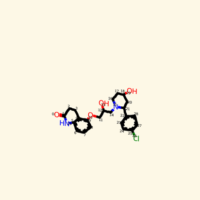 O=C1CCc2c(cccc2OCC(O)CN2CCC(O)CC2c2ccc(Cl)cc2)N1